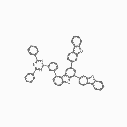 c1ccc(-c2nc(-c3ccccc3)nc(-c3cccc(-c4cccc5oc6c(-c7ccc8c(c7)oc7ccccc78)cc(-c7ccc8c(c7)oc7ccccc78)cc6c45)c3)n2)cc1